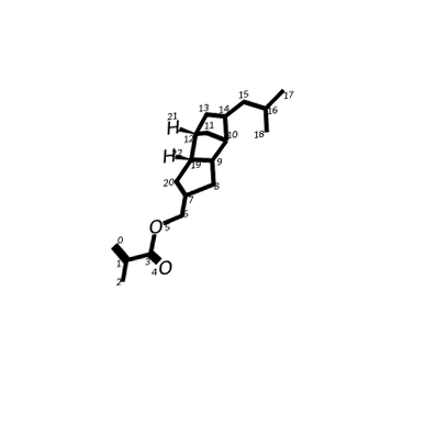 C=C(C)C(=O)OCC1CC2C3C[C@@H](CC3CC(C)C)[C@H]2C1